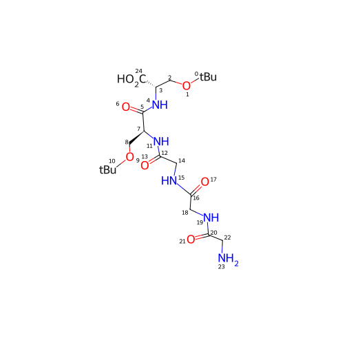 CC(C)(C)OC[C@H](NC(=O)[C@H](COC(C)(C)C)NC(=O)CNC(=O)CNC(=O)CN)C(=O)O